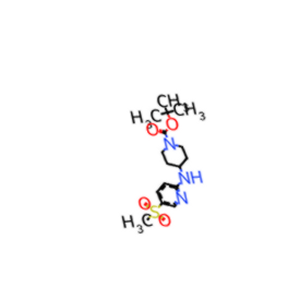 CC(C)(C)OC(=O)N1CCC(Nc2ccc(S(C)(=O)=O)cn2)CC1